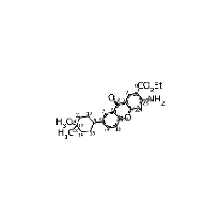 CCOC(=O)c1cc2c(=O)c3cc(C4CCC(C)(C)CC4)ccc3oc2nc1N